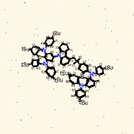 Cc1ccc2c3c1N(c1ccc(C(C)(C)C)cc1)c1ccc(C(C)(C)Cc4cccc5c4c4ccccc4n5-c4cc5c6c(c4)N(c4ccc(C(C)(C)C)cc4)c4ccc(C(C)(C)C)cc4B6c4cc(C(C)(C)C)ccc4N5c4ccc(C(C)(C)C)cc4)cc1B3c1cc(C(C)(C)C)ccc1N2c1ccc(C(C)(C)C)cc1